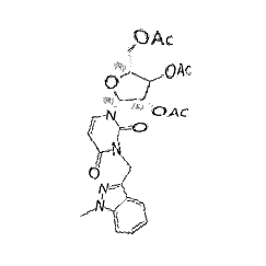 CC(=O)OC[C@H]1O[C@@H](n2ccc(=O)n(Cc3nn(C)c4ccccc34)c2=O)[C@@H](OC(C)=O)C1OC(C)=O